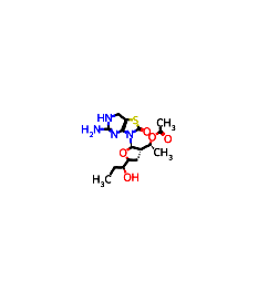 CC[C@H](O)C1C[C@@H]([C@@H](C)OC(C)=O)[C@H](n2c3c(sc2=O)CNC(N)=N3)O1